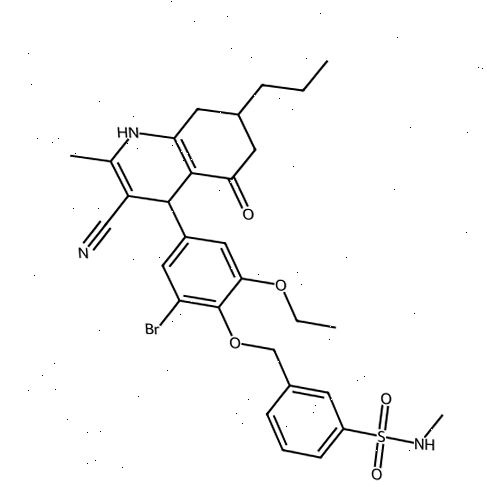 CCCC1CC(=O)C2=C(C1)NC(C)=C(C#N)C2c1cc(Br)c(OCc2cccc(S(=O)(=O)NC)c2)c(OCC)c1